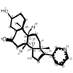 C[C@]12CCC(O)CC1C(=O)C[C@@H]1[C@H]2CC[C@]2(C)C(c3cccnc3)=CC[C@@H]12